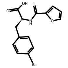 O=C(N[C@@H](Cc1ccc(Br)cc1)C(=O)O)c1ccco1